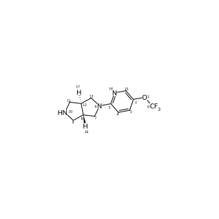 FC(F)(F)Oc1ccc(N2C[C@@H]3CNC[C@H]3C2)nc1